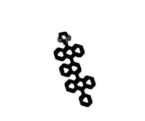 c1ccc(-c2c3ccccc3c(-c3ccc(-c4c5ccccc5c(B5OCCO5)c5ccccc45)c4ccccc34)c3ccccc23)cc1